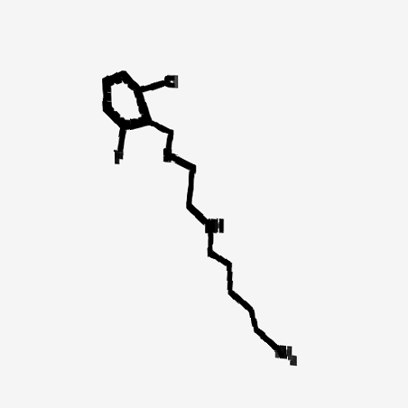 NCCCCCNCCSCc1c(F)cccc1Cl